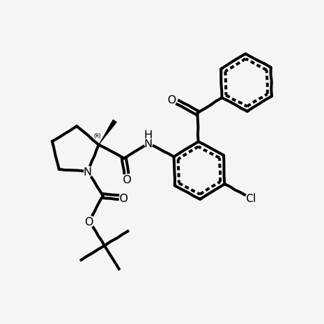 CC(C)(C)OC(=O)N1CCC[C@]1(C)C(=O)Nc1ccc(Cl)cc1C(=O)c1ccccc1